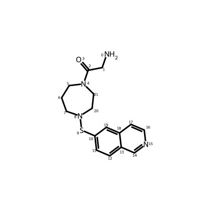 NCC(=O)N1CCCN(Sc2ccc3cnccc3c2)CC1